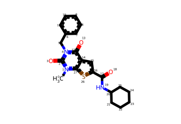 Cn1c(=O)n(Cc2ccccc2)c(=O)c2cc(C(=O)NC3CCCCC3)sc21